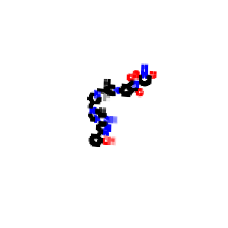 O=C1CCC(N2C(=O)c3ccc(N4C[C@@H]5[C@@H](CN6CCC(CN7CCN8c9cc(-c%10ccccc%10O)nnc9NC[C@H]8C7)CC6)[C@@H]5C4)cc3C2=O)C(=O)N1